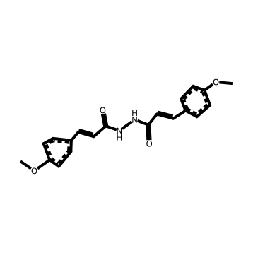 COc1ccc(C=CC(=O)NNC(=O)C=Cc2ccc(OC)cc2)cc1